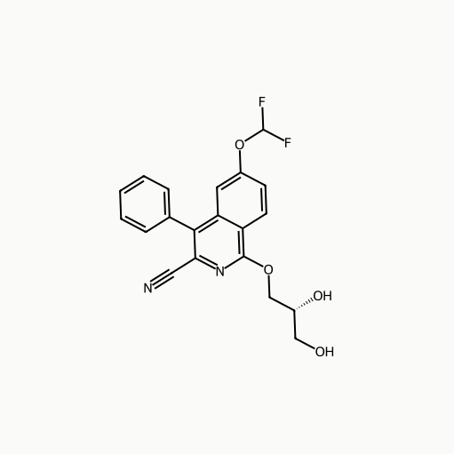 N#Cc1nc(OC[C@H](O)CO)c2ccc(OC(F)F)cc2c1-c1ccccc1